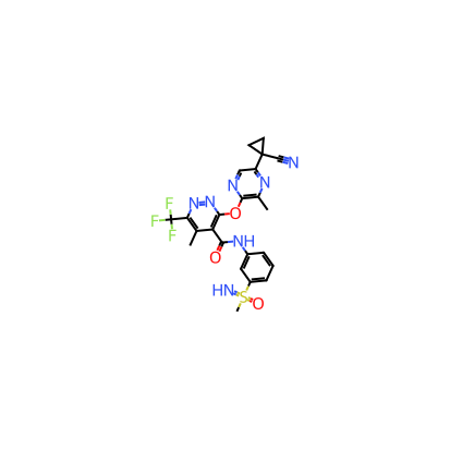 Cc1nc(C2(C#N)CC2)cnc1Oc1nnc(C(F)(F)F)c(C)c1C(=O)Nc1cccc(S(C)(=N)=O)c1